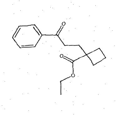 CCOC(=O)C1(CCC(=O)c2ccccc2)CCC1